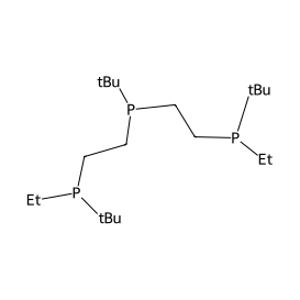 CCP(CCP(CCP(CC)C(C)(C)C)C(C)(C)C)C(C)(C)C